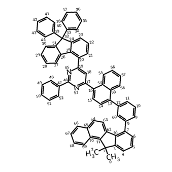 CC1(C)c2cccc(-c3cccc(-c4ccc(-c5cc(-c6cccc7c6-c6ccccc6C7(c6ccccc6)c6ccccc6)nc(-c6ccccc6)n5)c5ccccc45)c3)c2-c2ccc3ccccc3c21